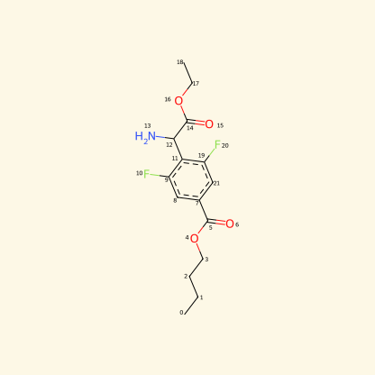 CCCCOC(=O)c1cc(F)c(C(N)C(=O)OCC)c(F)c1